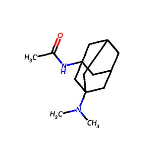 CC(=O)NC12CC3CC(C1)CC(N(C)C)(C3)C2